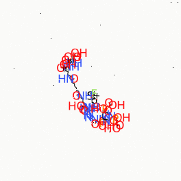 CC(C)[Si](F)(c1ccc(C(=O)NCC(C(=O)NC(CCCCNC(=O)CCCCCCC(=O)NCCCC[C@H](NC(=O)N[C@@H](CCC(=O)O)C(=O)O)C(=O)O)C(=O)O)n2cc(CNC(=O)CCP(=O)(O)CN3CCN(CP(=O)(O)CCC(=O)O)CCN(CP(=O)(O)CCC(=O)O)CC3)nn2)cc1)C(C)(C)C